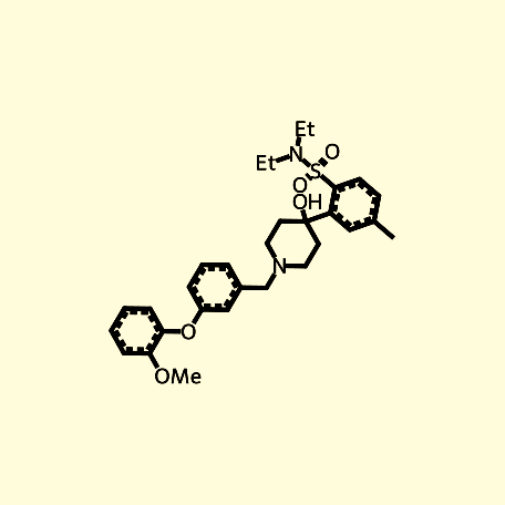 CCN(CC)S(=O)(=O)c1ccc(C)cc1C1(O)CCN(Cc2cccc(Oc3ccccc3OC)c2)CC1